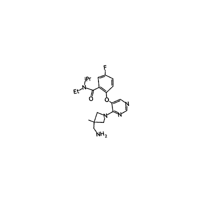 CCN(C(=O)c1cc(F)ccc1Oc1cncnc1N1CC(C)(CN)C1)C(C)C